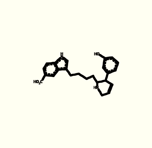 O=C(O)c1ccc2[nH]cc(CCCCC3NCC=CC3c3cccc(O)c3)c2c1